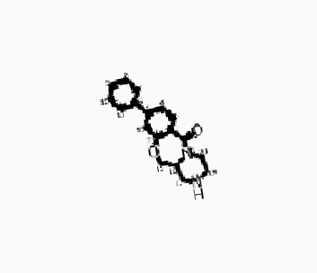 O=C1c2ccc(-c3ccccc3)cc2OCC2CNCCN12